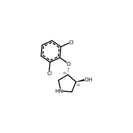 O[C@H]1CNC[C@@H]1Oc1c(Cl)cccc1Cl